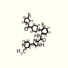 Cc1cc(-c2c[nH]c(C(=O)Nc3cccc(F)c3N3CCC(C(=O)N4CC[C@@H](F)C4)CC3)n2)ccn1